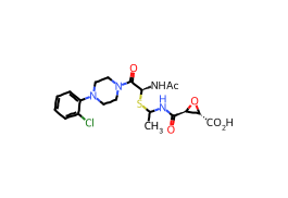 CC(=O)N[C@@H](SC(C)NC(=O)[C@H]1O[C@@H]1C(=O)O)C(=O)N1CCN(c2ccccc2Cl)CC1